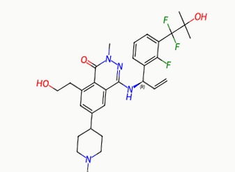 C=C[C@@H](Nc1nn(C)c(=O)c2c(CCO)cc(C3CCN(C(C)=O)CC3)cc12)c1cccc(C(F)(F)C(C)(C)O)c1F